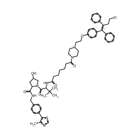 Cc1ncsc1-c1ccc(CNC(=O)C2CC(O)CN2C(=O)C(NC(=O)CCCCCC(=O)N2CCN(CCOc3ccc(/C(=C(/CCCl)c4ccccc4)c4ccccc4)cc3)CC2)C(C)(C)C)cc1